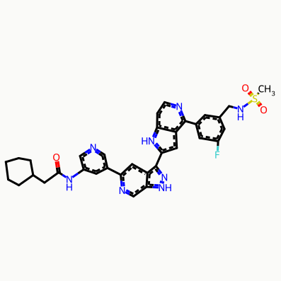 CS(=O)(=O)NCc1cc(F)cc(-c2nccc3[nH]c(-c4n[nH]c5cnc(-c6cncc(NC(=O)CC7CCCCC7)c6)cc45)cc23)c1